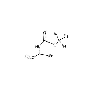 [2H]C([2H])([2H])OC(=O)NC(C(=O)O)C(C)C